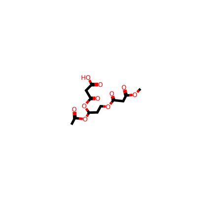 COC(=O)CC(=O)OCCC(OC(C)=O)OC(=O)CC(=O)O